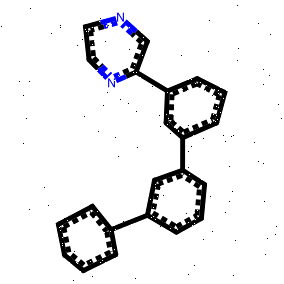 c1ccc(-c2cccc(-c3cccc(-c4cnccn4)c3)c2)cc1